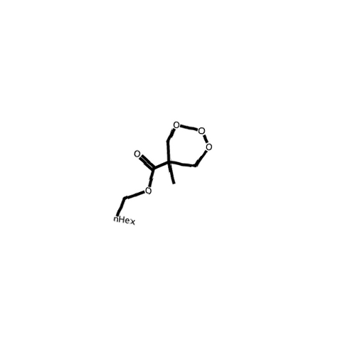 CCCCCCCOC(=O)C1(C)COOOC1